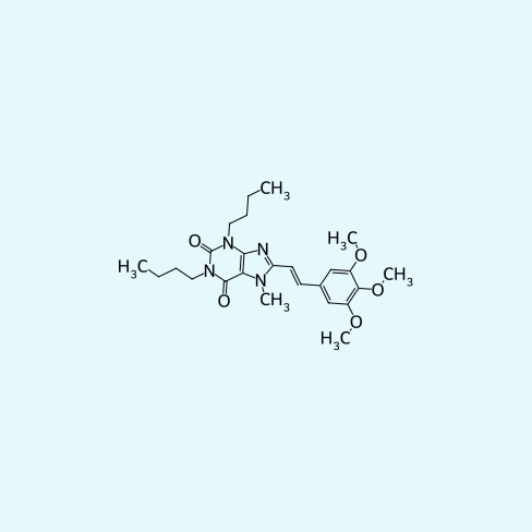 CCCCn1c(=O)c2c(nc(C=Cc3cc(OC)c(OC)c(OC)c3)n2C)n(CCCC)c1=O